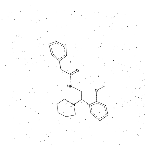 COc1ccccc1C(CNC(=O)Cc1ccccc1)N1CCCCC1